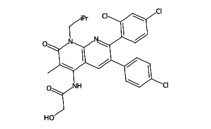 Cc1c(NC(=O)CO)c2cc(-c3ccc(Cl)cc3)c(-c3ccc(Cl)cc3Cl)nc2n(CC(C)C)c1=O